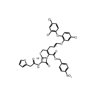 O=C(Cc1cccs1)NC1C(=O)N2C(C(=O)OCc3ccc([N+](=O)[O-])cc3)=C(C/C=C/Oc3cc(Cl)ccc3Oc3ccc(Cl)cc3Cl)CS[C@H]12